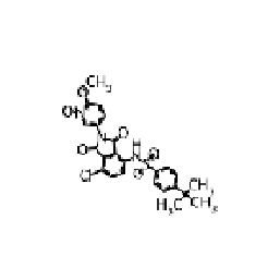 COc1ccc(N2C(=O)c3c(Cl)ccc(NS(=O)(=O)c4ccc(C(C)(C)C)cc4)c3C2=O)c[n+]1[O-]